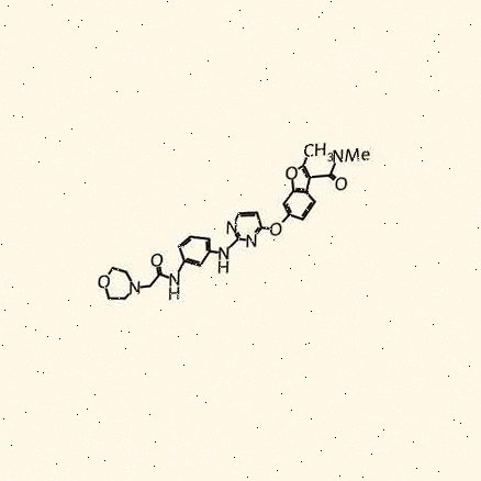 CNC(=O)c1c(C)oc2cc(Oc3ccnc(Nc4cccc(NC(=O)CN5CCOCC5)c4)n3)ccc12